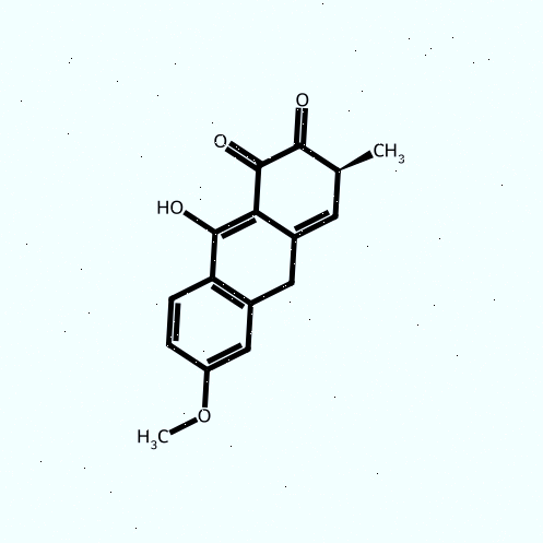 COc1ccc2c(c1)CC1=C[C@H](C)C(=O)C(=O)C1=C2O